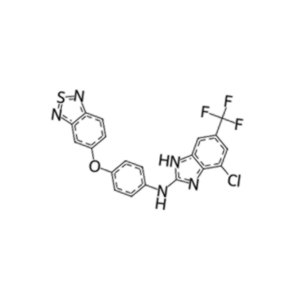 FC(F)(F)c1cc(Cl)c2nc(Nc3ccc(Oc4ccc5nsnc5c4)cc3)[nH]c2c1